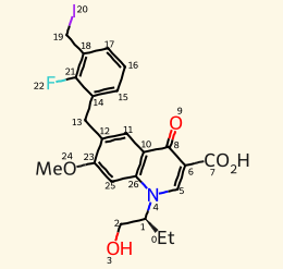 CC[C@@H](CO)n1cc(C(=O)O)c(=O)c2cc(Cc3cccc(CI)c3F)c(OC)cc21